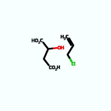 C=CCCl.O=C(O)CC(O)C(=O)O